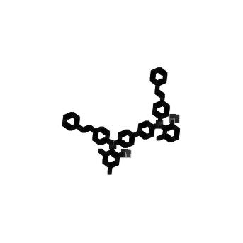 CCc1cccc(C)c1N(c1ccc(/C=C/c2ccccc2)cc1)c1ccc(-c2ccc(N(c3ccc(/C=C/c4ccccc4)cc3)c3c(C)cc(C)cc3CC)cc2)cc1